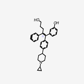 OCCC/C(=C(/c1ccc(C2CCN(C3CC3)CC2)cc1)c1cccc(O)c1)c1cc#ccc1